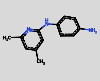 Cc1cc(C)nc(Nc2ccc(N)cc2)c1